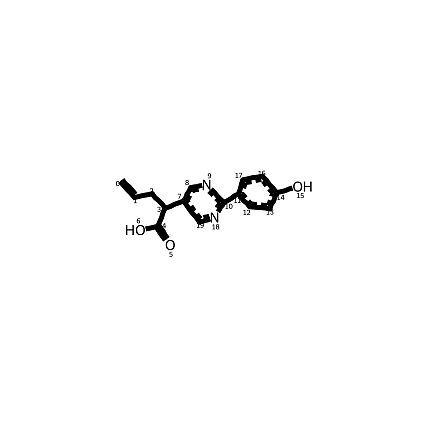 C=CCC(C(=O)O)c1cnc(-c2ccc(O)cc2)nc1